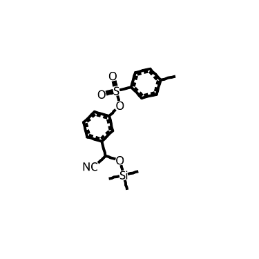 Cc1ccc(S(=O)(=O)Oc2cccc(C(C#N)O[Si](C)(C)C)c2)cc1